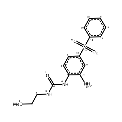 COCCNC(=O)Nc1ccc(S(=O)(=O)c2ccccc2)cc1N